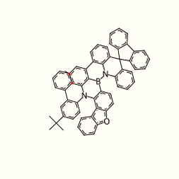 Cc1cc2c3c(c1)N(c1ccc(C(C)(C)C)cc1-c1ccccc1)c1c(ccc4oc5ccccc5c14)B3N1c3ccccc3C3(c4ccccc4-c4ccccc43)c3cccc-2c31